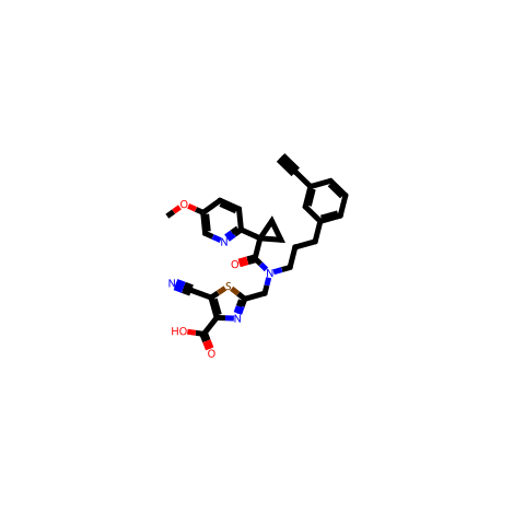 C#Cc1cccc(CCCN(Cc2nc(C(=O)O)c(C#N)s2)C(=O)C2(c3ccc(OC)cn3)CC2)c1